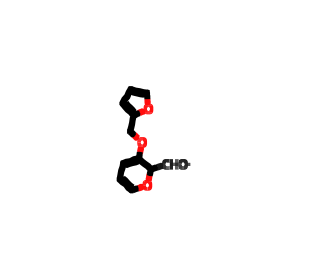 O=[C]C1OC=CC=C1OCc1ccco1